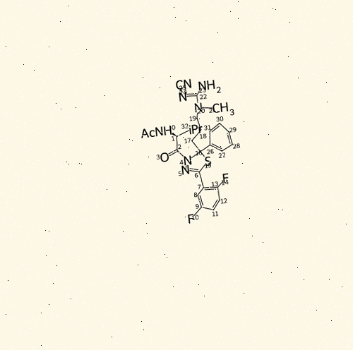 CC(=O)N[C@H](C(=O)N1N=C(c2cc(F)ccc2F)SC1(CCCN(C)C(N)=NC#N)c1ccccc1)C(C)C